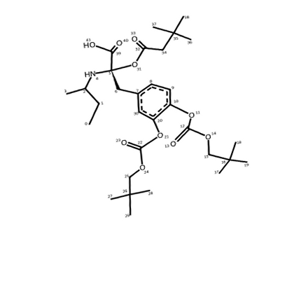 CCC(C)N[C@@](Cc1ccc(OC(=O)OCC(C)(C)C)c(OC(=O)OCC(C)(C)C)c1)(OC(=O)CC(C)(C)C)C(=O)O